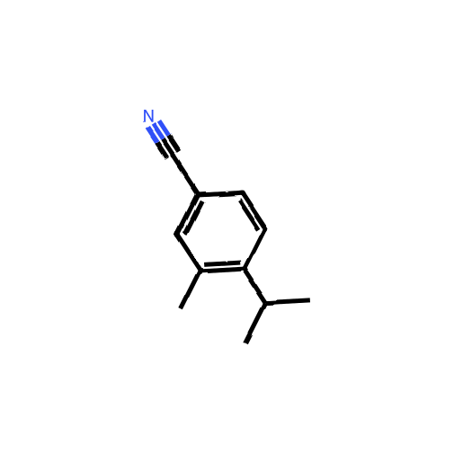 Cc1cc(C#N)ccc1C(C)C